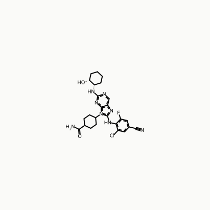 N#Cc1cc(F)c(Nc2nc3cnc(N[C@H]4CCCC[C@H]4O)nc3n2C2CCC(C(N)=O)CC2)c(Cl)c1